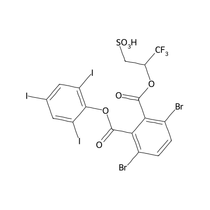 O=C(Oc1c(I)cc(I)cc1I)c1c(Br)ccc(Br)c1C(=O)OC(CS(=O)(=O)O)C(F)(F)F